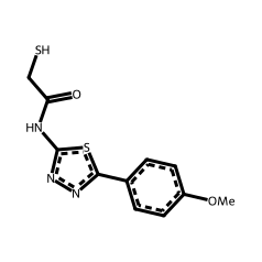 COc1ccc(-c2nnc(NC(=O)CS)s2)cc1